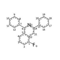 Fc1cccc2c(-c3ccccc3)nc(-c3ccccc3)cc12